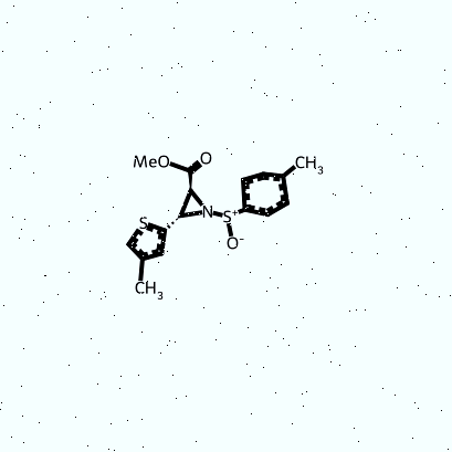 COC(=O)[C@@H]1[C@@H](c2cc(C)cs2)N1[S+]([O-])c1ccc(C)cc1